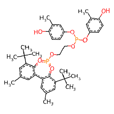 Cc1cc(C(C)(C)C)c2op(OCCOP(Oc3ccc(O)c(C)c3)Oc3ccc(O)c(C)c3)oc3c(C(C)(C)C)cc(C)cc3c2c1